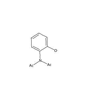 CC(=O)N(C(C)=O)c1ccccc1[O]